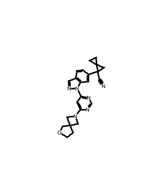 N#CC1(c2ccc3cnn(-c4cc(N5CC6(CCOC6)C5)ncn4)c3c2)CC12CC2